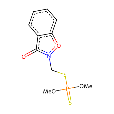 COP(=S)(OC)SCn1oc2ccccc2c1=O